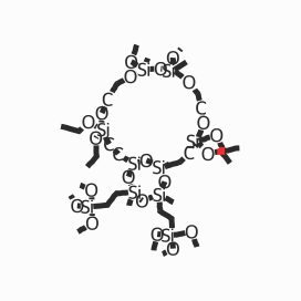 CCO[Si]1(OCC)CC[Si]2(C)O[Si](C)(CC[Si](OC)(OC)OC)O[Si](C)(CC[Si](OC)(OC)OC)O[Si](C)(CC[Si](OCC)(OCC)OCCO[Si](C)(OC)O[Si](C)(OC)OCCO1)O2